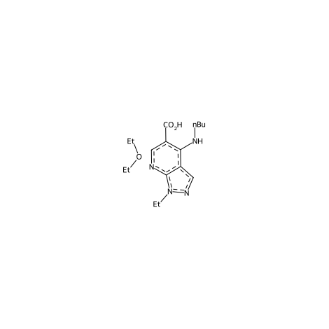 CCCCNc1c(C(=O)O)cnc2c1cnn2CC.CCOCC